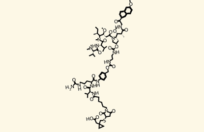 CC[C@H](C)C([C@@H](CC(=O)N1C[C@@H](OC(=O)NCCNC(=O)OCc2ccc(NC(=O)C(CCCNC(N)=O)NC(=O)[C@@H](NC(=O)CCCCCN3C(=O)CC(SCC4(CC(=O)O)CC4)C3=O)C(C)C)cc2)C[C@H]1[C@H](OC)[C@@H](C)C(=O)NCC(=O)c1ccc2cc(OC)ccc2c1)OC)N(C)C(=O)[C@@H](NC(=O)[C@H](C(C)C)N(C)C)C(C)C